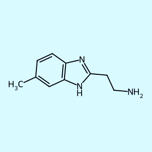 Cc1ccc2nc(CCN)[nH]c2c1